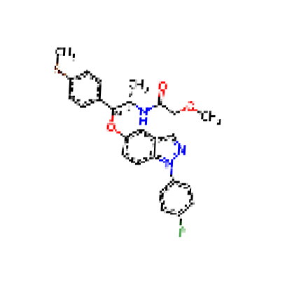 COCC(=O)N[C@@H](C)[C@@H](Oc1ccc2c(cnn2-c2ccc(F)cc2)c1)c1ccc(SC)cc1